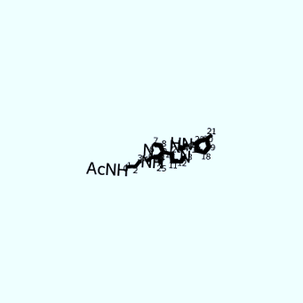 CC(=O)NCCCNc1nccc(-c2ccnc(Nc3cccc(C)c3)n2)c1C